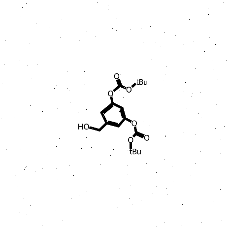 CC(C)(C)OC(=O)Oc1cc(CO)cc(OC(=O)OC(C)(C)C)c1